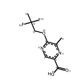 Cc1nc(C(=O)O)cnc1OCC(C)(F)F